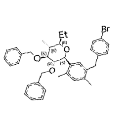 CC[C@H]1O[C@@H](c2cc(Cc3ccc(Br)cc3)c(C)cc2C)[C@H](OCc2ccccc2)[C@@H](OCc2ccccc2)[C@@H]1C